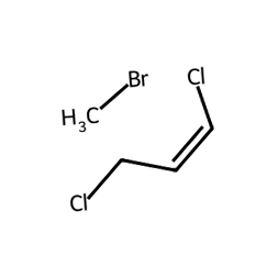 CBr.Cl/C=C\CCl